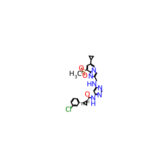 CS(=O)(=O)c1cc(C2CC2)cn2cc(CNc3cc(NC(=O)[C@H]4C[C@@H]4c4cccc(Cl)c4)ncn3)nc12